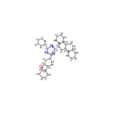 c1ccc(-c2nc(-c3ccc4c(c3)oc3ccccc34)nc(-c3cc4c5ccccc5ccc4c4ccccc34)n2)cc1